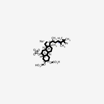 C/C(=C\C[C@@H](C)[C@H]1CC[C@H]2[C@@H]3C[C@H](OS(=O)(=O)[O-])[C@H]4C[C@H](OS(=O)(=O)O)[C@@H](OS(=O)(=O)O)C[C@]4(C)[C@H]3CC[C@]12C)C(C)(C)C(C)C.[Na+]